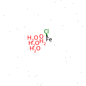 O.O.O.O.[Cl][Fe]